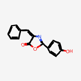 O=C1OC(c2ccc(O)cc2)=N/C1=C/c1ccccc1